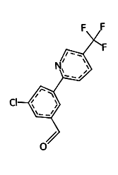 O=Cc1cc(Cl)cc(-c2ccc(C(F)(F)F)cn2)c1